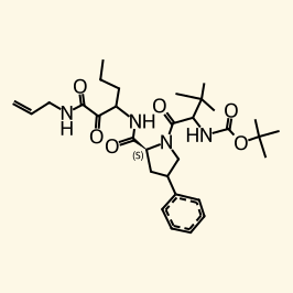 C=CCNC(=O)C(=O)C(CCC)NC(=O)[C@@H]1CC(c2ccccc2)CN1C(=O)C(NC(=O)OC(C)(C)C)C(C)(C)C